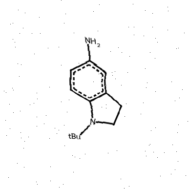 CC(C)(C)N1CCc2cc(N)ccc21